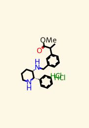 COC(=O)C(C)c1cccc(CN[C@H]2CCCN[C@H]2c2ccccc2)c1.Cl.Cl